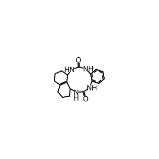 O=C1Nc2ccccc2NC(=O)NC2CCCC3=C2C(CCC3)N1